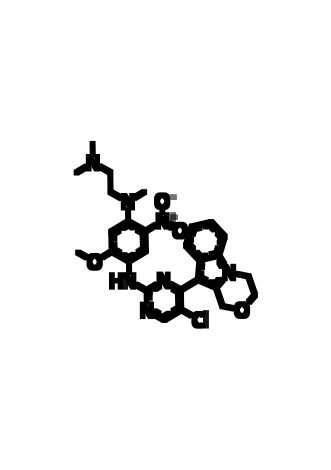 COc1cc(N(C)CCN(C)C)c([N+](=O)[O-])cc1Nc1ncc(Cl)c(-c2c3n(c4ccccc24)CCOC3)n1